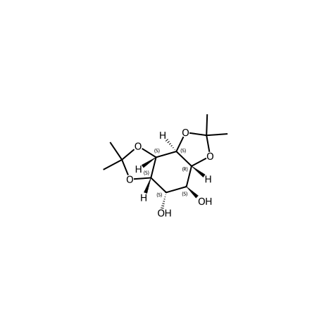 CC1(C)O[C@@H]2[C@H]3OC(C)(C)O[C@H]3[C@@H](O)[C@H](O)[C@H]2O1